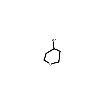 CC(=O)C1CCOCC1